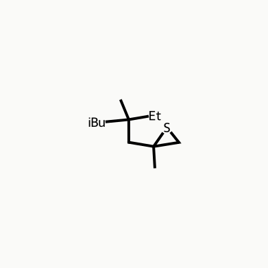 CCC(C)C(C)(CC)CC1(C)CS1